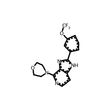 FC(F)(F)Oc1cccc(-c2nc3c(N4CCOCC4)nccc3[nH]2)c1